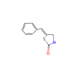 O=C1[N]CC(=Cc2ccccc2)S1